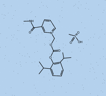 CNC(=O)c1ccc[n+](COC(=O)Oc2c(C(C)C)cccc2C(C)C)c1.CS(=O)(=O)O